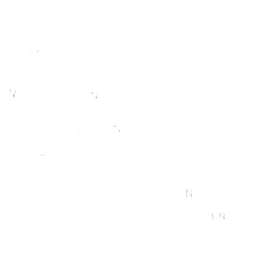 CCOC(=O)C[C@@H](c1cncc(O)c1)N1CCN(CCCc2ccc3c(n2)NCCC3)C1=O